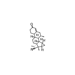 CC[C@]12CC[C@H]3[C@H]([C@@H]1[C@@H]1C[C@@H]1[C@]2(C)C#N)[C@H](C)CC1=CC(=O)CC[C@@H]13